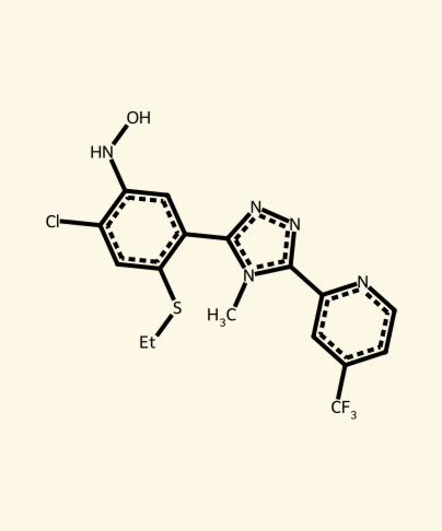 CCSc1cc(Cl)c(NO)cc1-c1nnc(-c2cc(C(F)(F)F)ccn2)n1C